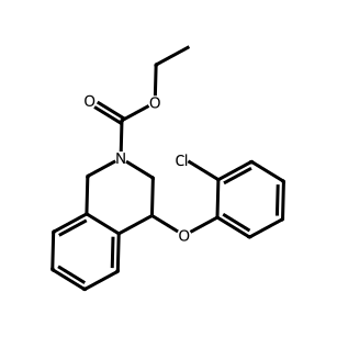 CCOC(=O)N1Cc2ccccc2C(Oc2ccccc2Cl)C1